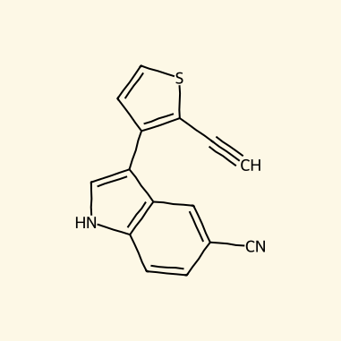 C#Cc1sccc1-c1c[nH]c2ccc(C#N)cc12